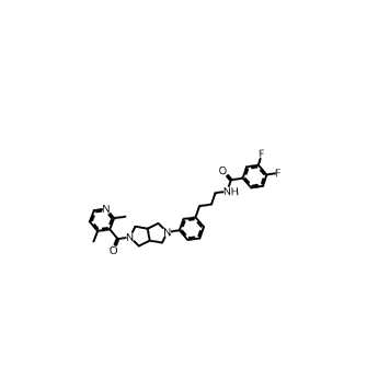 Cc1ccnc(C)c1C(=O)N1CC2CN(c3cccc(CCCNC(=O)c4ccc(F)c(F)c4)c3)CC2C1